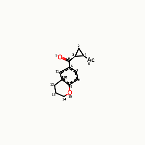 CC(=O)[C@@H]1C[C@@H]1C(=O)c1ccc2c(c1)CCCO2